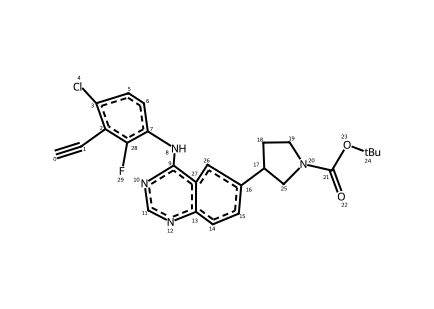 C#Cc1c(Cl)ccc(Nc2ncnc3ccc(C4CCN(C(=O)OC(C)(C)C)C4)cc23)c1F